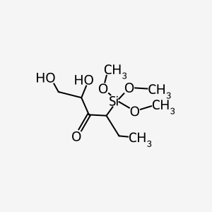 CCC(C(=O)C(O)CO)[Si](OC)(OC)OC